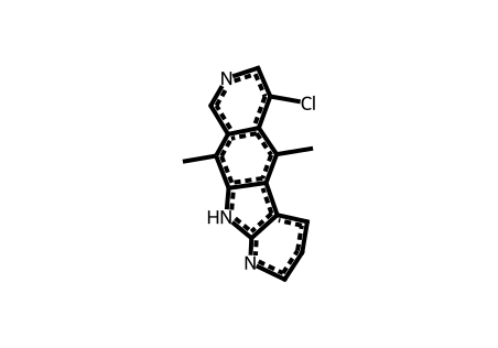 Cc1c2cncc(Cl)c2c(C)c2c1[nH]c1ncccc12